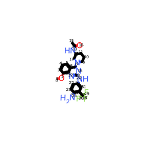 COc1cccc2c(N3CCC[C@@H](NC(C)=O)C3)nc(Nc3ccc(N)c(C(F)(F)F)c3)nc12